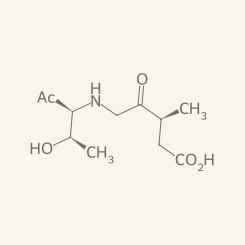 CC(=O)[C@@H](NCC(=O)[C@@H](C)CC(=O)O)[C@@H](C)O